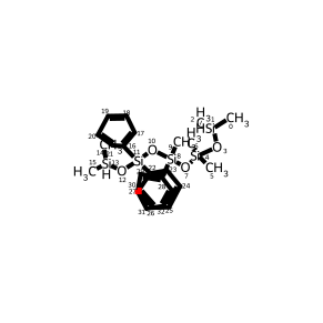 C[SiH](C)O[Si](C)(C)O[Si](C)(O[Si](O[SiH](C)C)(c1ccccc1)c1ccccc1)c1ccccc1